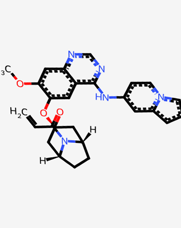 C=CC(=O)N1[C@@H]2CC[C@H]1C[C@H](Oc1cc3c(Nc4ccn5cccc5c4)ncnc3cc1OC)C2